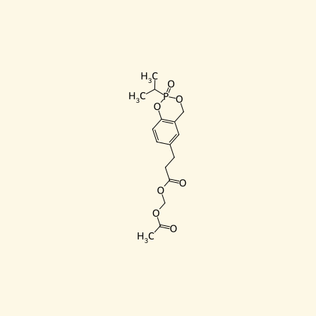 CC(=O)OCOC(=O)CCc1ccc2c(c1)COP(=O)(C(C)C)O2